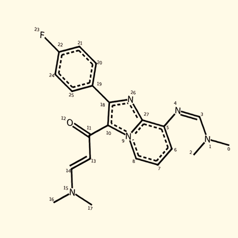 CN(C)/C=N\c1cccn2c(C(=O)/C=C/N(C)C)c(-c3ccc(F)cc3)nc12